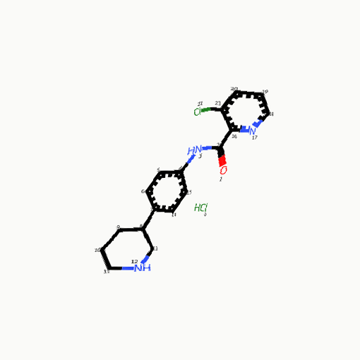 Cl.O=C(Nc1ccc(C2CCCNC2)cc1)c1ncccc1Cl